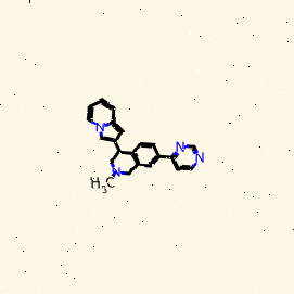 CN1Cc2cc(-c3ccncn3)ccc2C(c2cc3ccccn3c2)C1